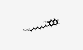 CCCCCCCCCCCCCCCCCCSc1cc2ccccc2cc1O